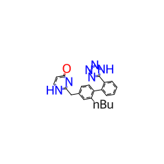 CCCCc1cc(Cc2nc(=O)cc[nH]2)ccc1-c1ccccc1-c1nnn[nH]1